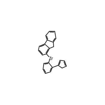 C1=CCC(c2cccc[c]2[Zr][c]2cccc3c2Cc2ccccc2-3)=C1